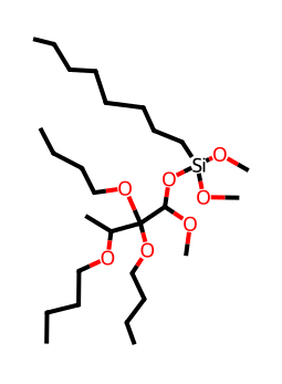 CCCCCCCC[Si](OC)(OC)OC(OC)C(OCCCC)(OCCCC)C(C)OCCCC